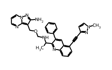 CC(NCOCc1c(N)nn2cccnc12)c1nc2cccc(C#Cc3ccn(C)n3)c2cc1-c1ccccc1